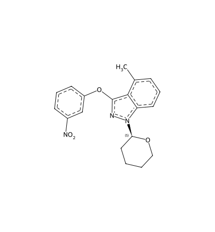 Cc1cccc2c1c(Oc1cccc([N+](=O)[O-])c1)nn2[C@@H]1CCCCO1